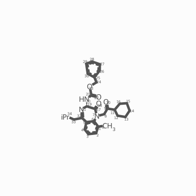 Cc1cccc2c1N(CC(=O)C1CCCCC1)C(=O)[C@@H](NC(=O)OCc1ccccc1)N=C2CC(C)C